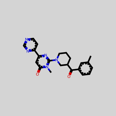 Cc1cccc(C(=O)C2CCCN(c3nc(-c4ccncn4)cc(=O)n3C)C2)c1